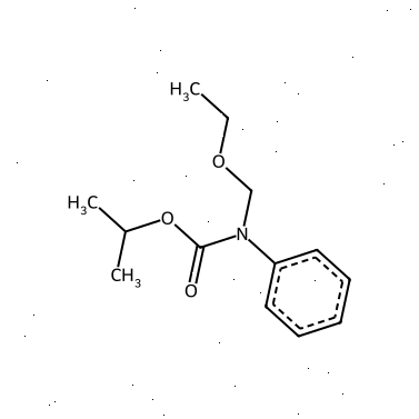 CCOCN(C(=O)OC(C)C)c1ccccc1